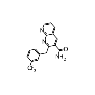 NC(=O)c1cc2cccnc2nc1Cc1cccc(C(F)(F)F)c1